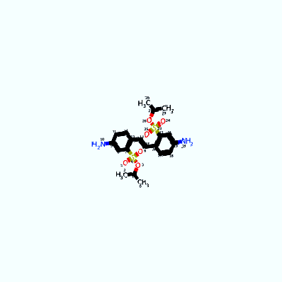 CC(C)OS(=O)(=O)c1cc(N)ccc1C=Cc1ccc(N)cc1S(=O)(=O)OC(C)C